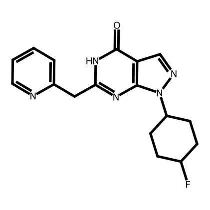 O=c1[nH]c(Cc2ccccn2)nc2c1cnn2C1CCC(F)CC1